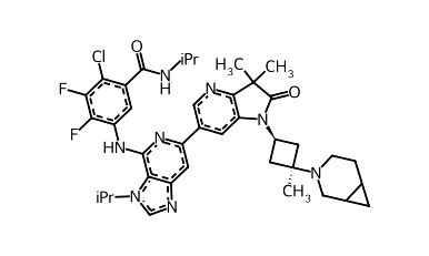 CC(C)NC(=O)c1cc(Nc2nc(-c3cnc4c(c3)N([C@H]3C[C@@](C)(N5CCC6CC6C5)C3)C(=O)C4(C)C)cc3ncn(C(C)C)c23)c(F)c(F)c1Cl